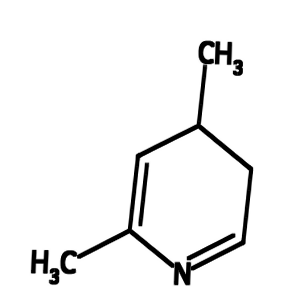 CC1=CC(C)CC=N1